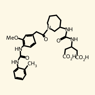 COc1cc(CC(=O)N2CCCCC(NC(=O)NC(CC(=O)O)CC(=O)O)C2)ccc1NC(=O)Nc1ccccc1C